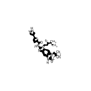 CN(C)C(=O)CCn1c(NC(=O)c2ccc(-c3cn[nH]c3)s2)nc2cc3[nH]c(=O)n(CC(C)(C)O)c3cc21